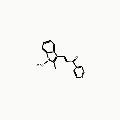 COn1c(C)c(/C=C/C(=O)c2ccncc2)c2ccccc21